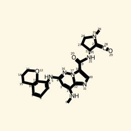 CNc1cc(Nc2cccc3c2OCCC3)nn2c(C(=O)N[C@@H]3CCN(C)C3=C=O)cnc12